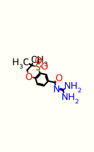 CC1(C)COc2ccc(C(=O)N=C(N)N)cc2S1(=O)=O